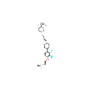 CCCOc1ccc(C2=CCC(/C=C/CCC3CCC(C)CC3)CC2)c(F)c1F